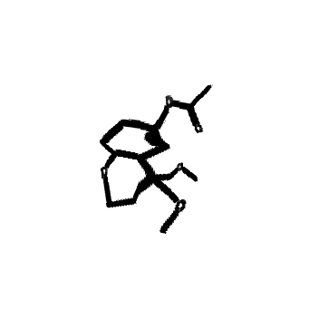 COC1(OC)CCOc2ccc(OC(C)=O)cc21